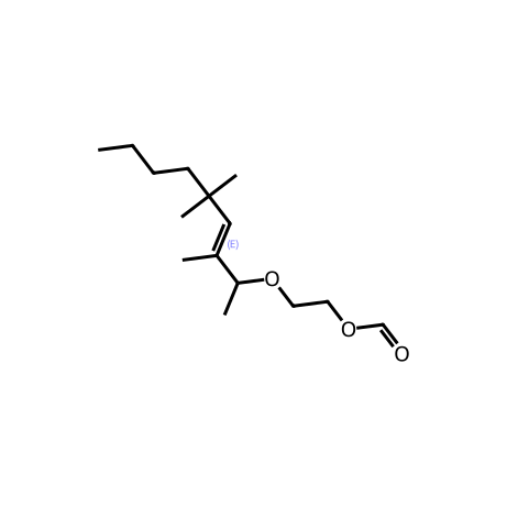 CCCCC(C)(C)/C=C(\C)C(C)OCCOC=O